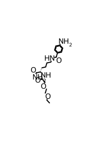 CCOCCOCC(=O)N[C@@H](CCCCNC(=O)c1ccc(N)cc1)C(N)=O